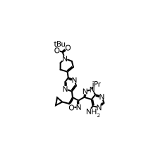 CC(C)n1nc(-c2noc(C3CC3)c2-c2cnc(C3=CCN(C(=O)OC(C)(C)C)CC3)cn2)c2c(N)ncnc21